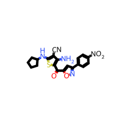 N#Cc1c(NC2CCCC2)sc(C(=O)c2cc(-c3ccc([N+](=O)[O-])cc3)no2)c1N